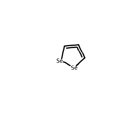 C1=C[Se][Se]C=1